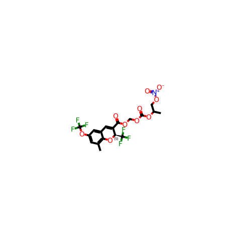 Cc1cc(OC(F)(F)F)cc2c1O[C@H](C(F)(F)F)C(C(=O)OCOC(=O)OC(C)CO[N+](=O)[O-])=C2